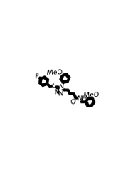 COc1cccc(-n2c(CCCC(=O)NCc3ccccc3OC)nnc2SCc2ccc(F)cc2)c1